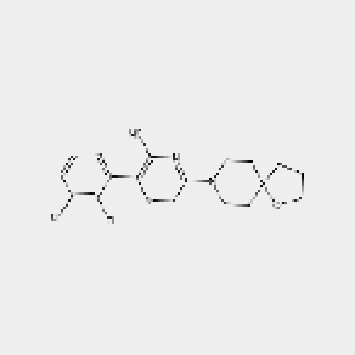 N#Cc1nc(N2CCC3(CCCO3)CC2)cnc1-c1cccc(Cl)c1Cl